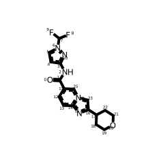 O=C(Nc1ccn(C(F)F)n1)c1ccc2nc(C3CCOCC3)cn2c1